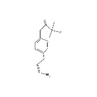 C=C(Cc1ccc(C/C=C\N)cc1)C(C)(C)F